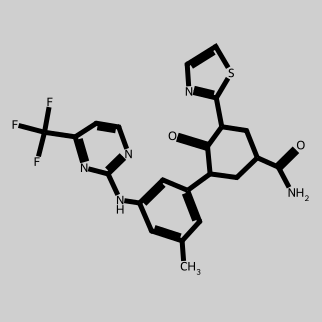 Cc1cc(Nc2nccc(C(F)(F)F)n2)cc(C2CC(C(N)=O)CC(c3nccs3)C2=O)c1